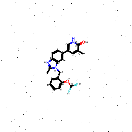 Cc1cc(-c2ccc3nc(C)n(Cc4ccccc4OC(F)F)c3c2)c[nH]c1=O